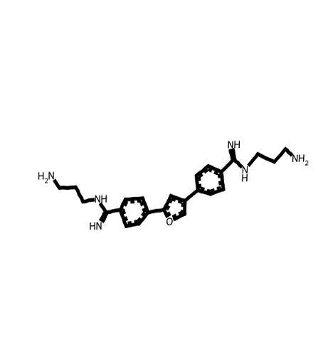 N=C(NCCCN)c1ccc(-c2coc(-c3ccc(C(=N)NCCCN)cc3)c2)cc1